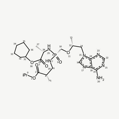 CC(C)OC(=O)[C@@H](C)CN[P@@](=O)(CO[C@H](C)Cn1cnc2c(N)ncnc21)N[C@@H](C)C(=O)OC1CCCCC1